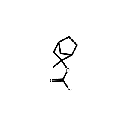 CCC(=O)OC1(C)CC2CCC1C2